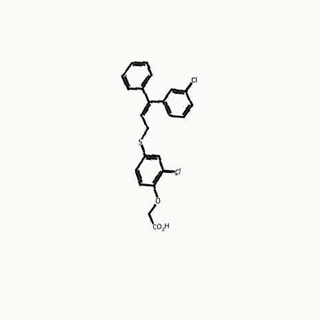 O=C(O)COc1ccc(SC/C=C(/c2ccccc2)c2cccc(Cl)c2)cc1Cl